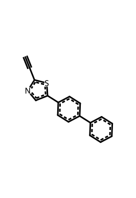 C#Cc1ncc(-c2ccc(-c3ccccc3)cc2)s1